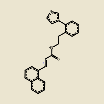 O=C(/C=C/c1cccc2ccccc12)NCCc1ccccc1-n1ccnc1